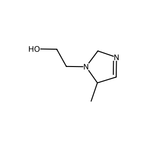 CC1C=NCN1CCO